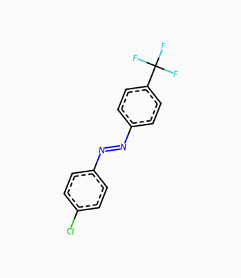 FC(F)(F)c1ccc(N=Nc2ccc(Cl)cc2)cc1